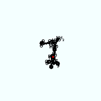 CC(C)[C@H](NC(=O)CCCCCN1C(=O)C=CC1=O)C(=O)N[C@@H](CCCNC(N)=O)C(=O)Nc1ccc(COC(=O)N2C[C@@H](CN(C(=O)[C@H](C)O)[C@H](c3nc(-c4cc(F)ccc4F)cn3Cc3ccccc3)C3CCS(=O)(=O)CC3)[C@@H](F)C2)cc1